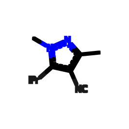 [C-]#[N+]c1c(C)nn(C)c1C(C)C